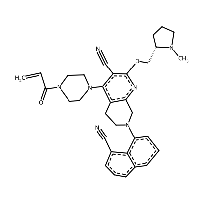 C=CC(=O)N1CCN(c2c(C#N)c(OC[C@@H]3CCCN3C)nc3c2CCN(c2cccc4cccc(C#N)c24)C3)CC1